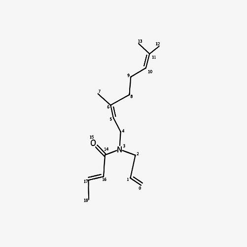 C=CCN(C/C=C(/C)CCC=C(C)C)C(=O)/C=C/C